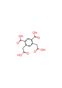 O=C(O)Cc1cc(CC(=O)O)c(C(=O)O)cc1C(=O)O